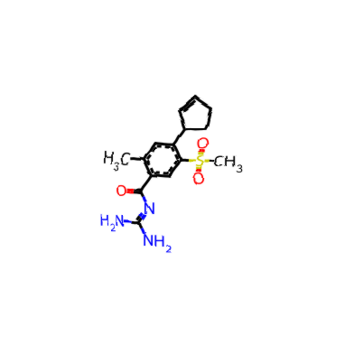 Cc1cc(C2C=CCC2)c(S(C)(=O)=O)cc1C(=O)N=C(N)N